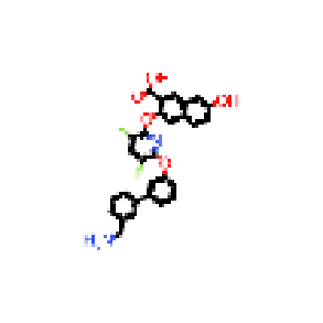 NCc1cccc(-c2cccc(Oc3nc(Oc4cc5ccc(O)cc5cc4C(=O)O)c(F)cc3F)c2)c1